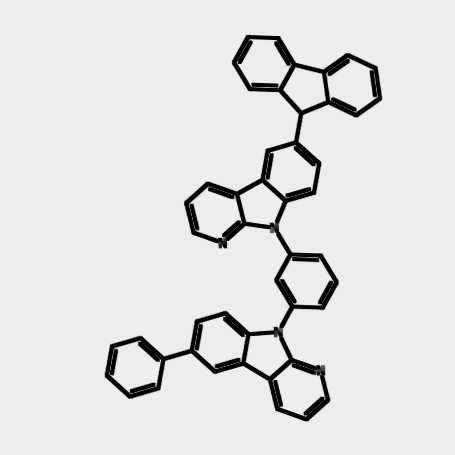 c1ccc(-c2ccc3c(c2)c2cccnc2n3-c2cccc(-n3c4ccc(C5c6ccccc6-c6ccccc65)cc4c4cccnc43)c2)cc1